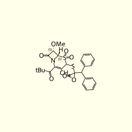 CO[C@H]1C(=O)N2C(C(=O)C(C)(C)C)=C(C)C(SC3(C(c4ccccc4)c4ccccc4)OC3=O)S(=O)(=O)[C@@H]12